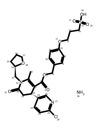 CC1=C(C(=O)OCc2ccc(OCCCS(=O)(=O)O)cc2)[C@H](c2ccc(Cl)nc2)CC(=O)N1C[C@H]1CCCO1.N